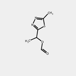 Cc1nnc(C(C)OC=O)s1